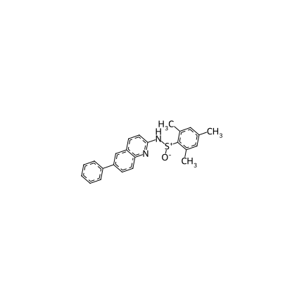 Cc1cc(C)c([S+]([O-])Nc2ccc3cc(-c4ccccc4)ccc3n2)c(C)c1